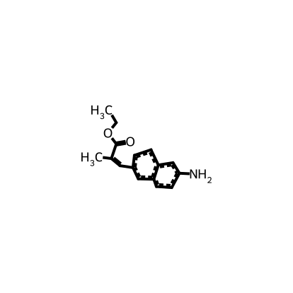 CCOC(=O)C(C)=Cc1ccc2cc(N)ccc2c1